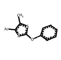 CC(=O)c1nc(Oc2ccccc2)sc1C